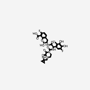 NC1(CN2CCN(C(=O)NC(C(=O)N[C@H]3Cc4ccc(F)c(C(=O)O)c4OB3O)c3cc(F)c(O)c(O)c3Cl)C(=O)C2=O)CC1